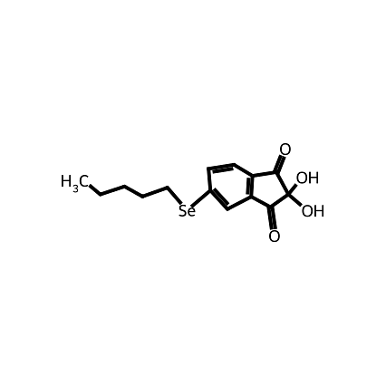 CCCCC[Se]c1ccc2c(c1)C(=O)C(O)(O)C2=O